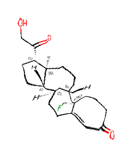 C[C@]12CC[C@H]3[C@@H](CCC4=CC(=O)CC[C@@]43CF)[C@@H]1CC[C@@H]2C(=O)CO